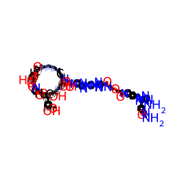 CO[C@H]1C[C@@H]2CC[C@@H](C)[C@@](O)(O2)C(=O)C(=O)N2CCCC[C@H]2C(=O)O[C@H]([C@H](C)C[C@@H]2CC[C@@H](O)[C@H](OC)C2)C[C@@H](O)[C@H](C)/C=C(\C)[C@@H](O)[C@@H](OC)C(=NOCC(=O)N2CCc3nc(N4CCN(c5ncc(C(=O)NCCOCCC(=O)N6CCc7cc(Cn8nc(-c9ccc%10oc(N)nc%10c9)c9c(N)ncnc98)ccc7C6)cn5)CC4)ncc3C2)[C@H](C)CC(C)/C=C/C=C/C=C/1C